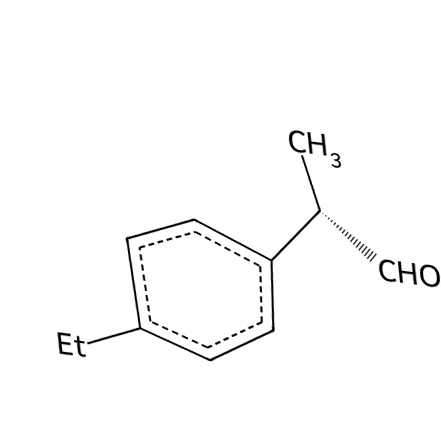 CCc1ccc([C@H](C)[C]=O)cc1